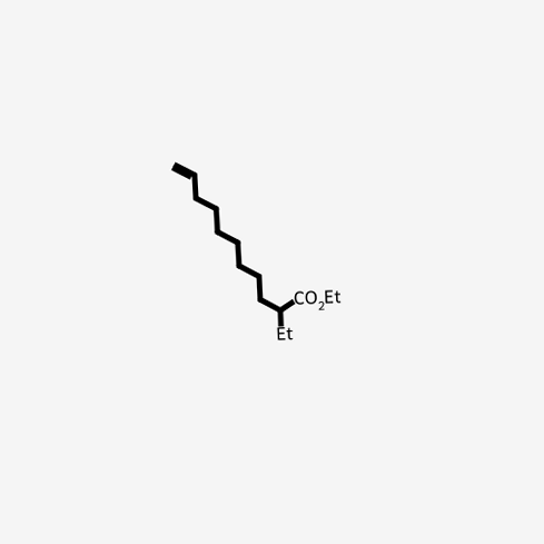 C=CCCCCCCCC(CC)C(=O)OCC